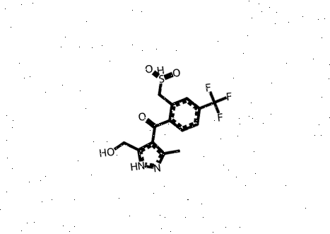 Cc1n[nH]c(CO)c1C(=O)c1ccc(C(F)(F)F)cc1C[SH](=O)=O